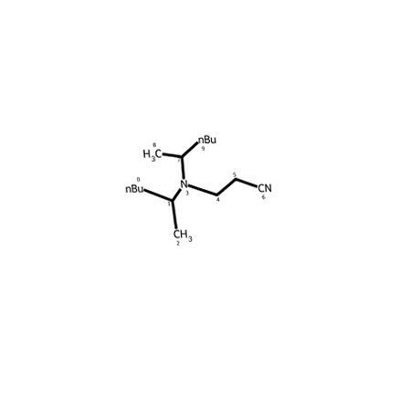 CCCCC(C)N(CCC#N)C(C)CCCC